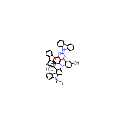 Cn1c2ccccc2c2c3c(ccc21)N(c1ccc(C#N)cc1-c1nc(-n2c4ccccc4c4ccccc42)nc(-n2c4ccccc4c4ccccc42)n1)c1ccccc1C3(C)C